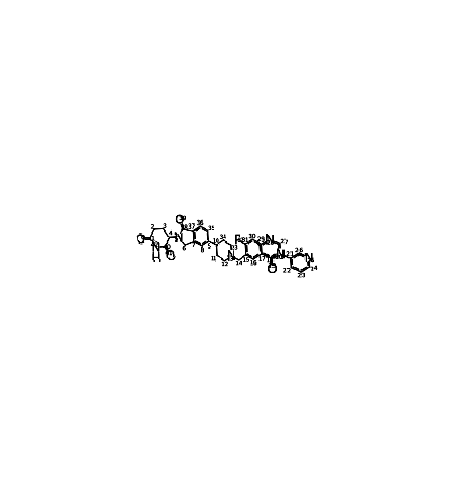 O=C1CCC(N2Cc3cc(C4CCN(Cc5cc6c(=O)n(-c7cccnc7)cnc6cc5F)CC4)ccc3C2=O)C(=O)N1